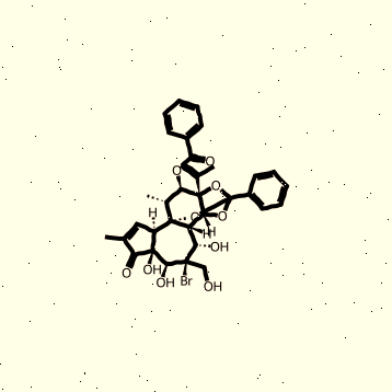 C=C(C)[C@@]12OC3(c4ccccc4)O[C@@H]1[C@@H]1[C@H](O)[C@](Br)(CO)[C@@H](O)[C@]4(O)C(=O)C(C)=C[C@H]4[C@@]1(O3)[C@H](C)[C@H]2OC(=O)c1ccccc1